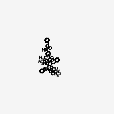 CC(C)[C@H](NC(=O)[C@@H](Cc1ccccc1)C[C@@H](O)[C@H](Cc1ccccc1)NC(=O)OC(C)(C)C)C(=O)N1CCC(NC(=O)OCc2ccccc2)CC1